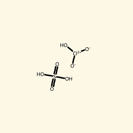 O=S(=O)(O)O.[O-][Cl+2]([O-])O